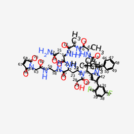 CC(=O)N[C@@H](C)C(=O)N[C@H](C)C(=O)N[C@@H](CC(N)=O)C(=O)N[C@@H](CCN(C(=O)CO)[C@@H](c1cc(-c2cc(F)ccc2F)cn1Cc1ccccc1)C(C)(C)C)C(=O)NCCNC(=O)CN1C(=O)C=CC1=O